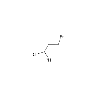 [2H]C(Cl)CCCC